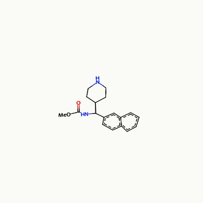 COC(=O)NC(c1ccc2ccccc2c1)C1CCNCC1